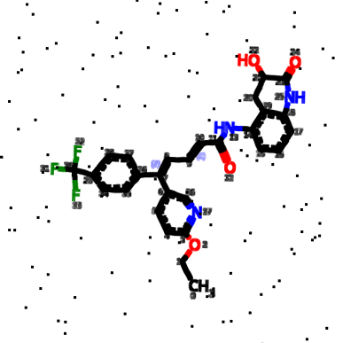 CCOc1ccc(/C(=C\C=C\C(=O)Nc2cccc3c2CC(O)C(=O)N3)c2ccc(C(F)(F)F)cc2)cn1